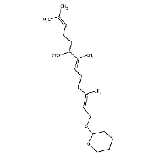 CC(C)=CCCC(O)/C(C)=C/CC/C(C)=C/COC1CCCCO1